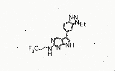 CCn1nnc2ccc(-c3c[nH]c4nc(NCCC(F)(F)F)ncc34)cc21